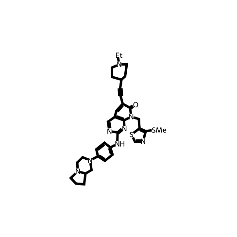 CCN1CCC(C#Cc2cc3cnc(Nc4ccc(N5CCN6CCCC6C5)cc4)nc3n(Cc3scnc3SC)c2=O)CC1